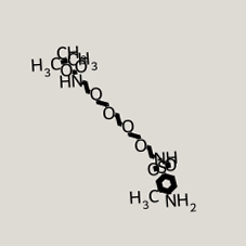 Cc1cc(S(=O)(=O)NCCOCCOCCOCCOCCNC(=O)OC(C)(C)C)ccc1N